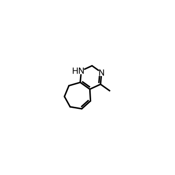 CC1=NCNC2=C1C=CCCC2